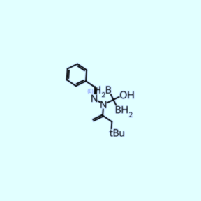 BC(B)(O)N(/N=C/c1ccccc1)C(=C)CC(C)(C)C